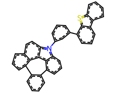 c1cc(-c2cccc3c2sc2ccccc23)cc(-n2c3cccc4c3c3c5c(cccc5ccc32)-c2ccccc2-4)c1